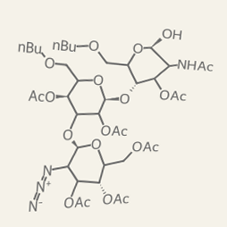 CCCCOCC1O[C@@H](O)C(NC(C)=O)C(OC(C)=O)[C@@H]1O[C@@H]1OC(COCCCC)[C@H](OC(C)=O)C(O[C@H]2OC(COC(C)=O)[C@H](OC(C)=O)C(OC(C)=O)C2N=[N+]=[N-])C1OC(C)=O